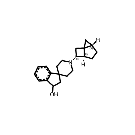 OC1CC2(CCN([C@@H]3CC45C[C@@H]4CC[C@@H]35)CC2)c2ccccc21